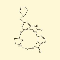 O=c1[nH]c2cc(CN3CCCCC3)cc3c2nc1-c1cccc2c(=O)n(sc12)CC[C@@H]1CCC(C1)O3